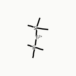 C[Si](C)(C)[Ti+2][Si](C)(C)C